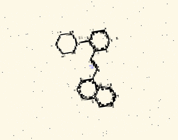 C(=C\c1cccc2ccccc12)/c1cnccc1N1CCCCC1